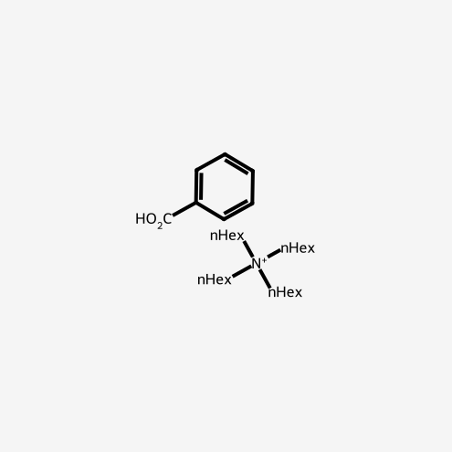 CCCCCC[N+](CCCCCC)(CCCCCC)CCCCCC.O=C(O)c1ccccc1